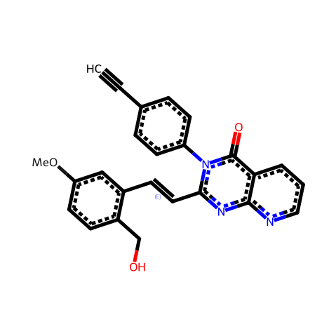 C#Cc1ccc(-n2c(/C=C/c3cc(OC)ccc3CO)nc3ncccc3c2=O)cc1